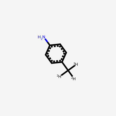 [2H]C([2H])([2H])c1ccc(N)cc1